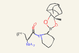 CC(C)C(N)C(=O)N1CCCC1B1OC2C3CC(C[C@]2(C)O1)C3(C)C